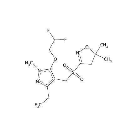 Cn1nc(CC(F)(F)F)c(CS(=O)(=O)C2=NOC(C)(C)C2)c1OCC(F)F